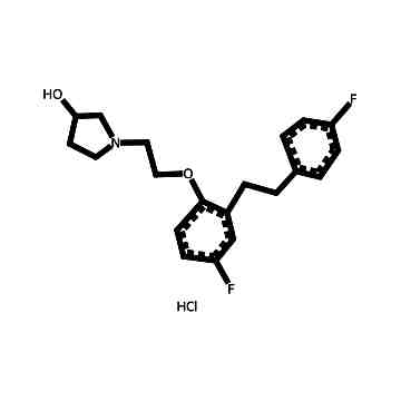 Cl.OC1CCN(CCOc2ccc(F)cc2CCc2ccc(F)cc2)C1